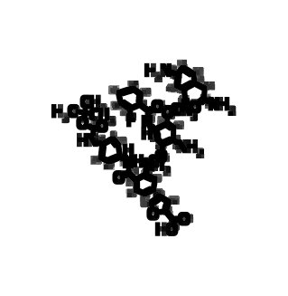 CC(C)(C)OC(=O)Nc1ccc(NC(=O)c2ccccc2N)cc1.COc1cc(NC(=O)c2ccccc2F)c(OC)cc1N.N#Cc1cc(N)ccc1CC(N)=O.O=C(O)c1ccco1